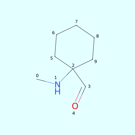 CNC1(C=O)CCCCC1